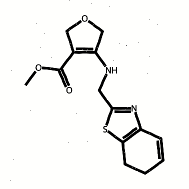 COC(=O)C1=C(NCc2nc3c(s2)CCC=C3)COC1